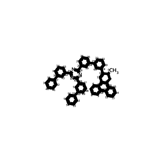 CC1Cc2c(c3ccccc3c3ccccc23)C=C1c1cccc(-c2cccc(-c3nc(-c4cccc(-c5ccccc5)c4)nc(-c4cccc(-c5ccccc5)c4)n3)c2)c1